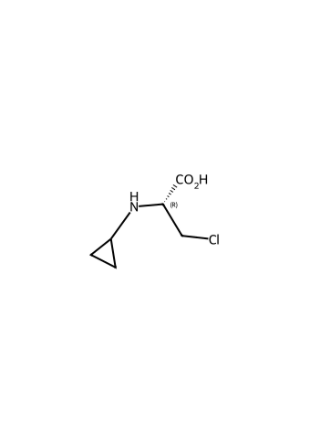 O=C(O)[C@H](CCl)NC1CC1